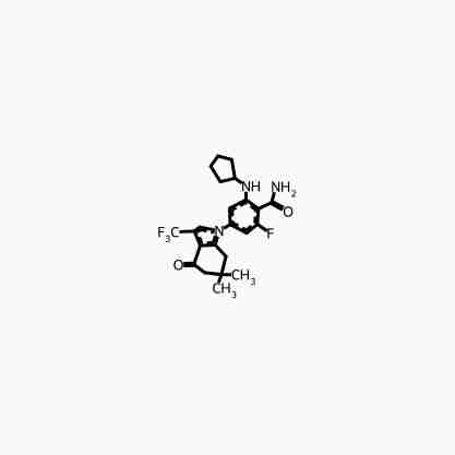 CC1(C)CC(=O)c2c(C(F)(F)F)cn(-c3cc(F)c(C(N)=O)c(NC4CCCC4)c3)c2C1